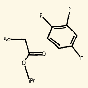 CC(=O)CC(=O)OC(C)C.Fc1ccc(F)c(F)c1